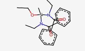 CCO[Si](C)(N(CC)C(=O)c1ccccc1)N(CC)C(=O)c1ccccc1